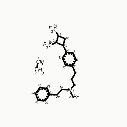 CC#N.CC(C)N(CCCc1ccc(C2CC(C(F)(F)F)C2C(F)(F)F)cc1)CCc1ccccc1